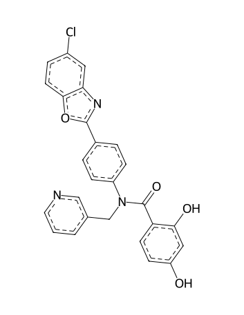 O=C(c1ccc(O)cc1O)N(Cc1cccnc1)c1ccc(-c2nc3cc(Cl)ccc3o2)cc1